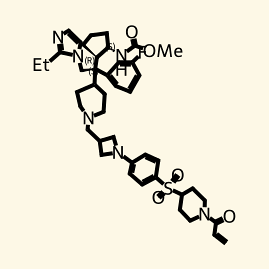 C=CC(=O)N1CCC(S(=O)(=O)c2ccc(N3CC(CN4CCC([C@@](Cn5ccnc5CC)(c5cccc(F)c5)[C@H]5CCC[C@@H]5NC(=O)OC)CC4)C3)cc2)CC1